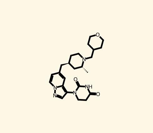 C[C@@H]1C[C@@H](Cc2ccn3ncc(N4CCC(=O)NC4=O)c3c2)CCN1CC1CCOCC1